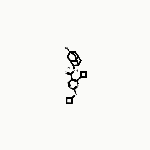 O=C(N[C@H]1C2CC3CC1C[C@@](O)(C3)C2)c1cnc(OC2CCC2)nc1C1CCC1